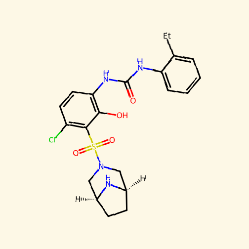 CCc1ccccc1NC(=O)Nc1ccc(Cl)c(S(=O)(=O)N2C[C@H]3CC[C@@H](C2)N3)c1O